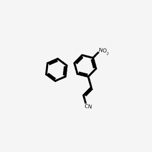 N#CC=Cc1cccc([N+](=O)[O-])c1.c1ccccc1